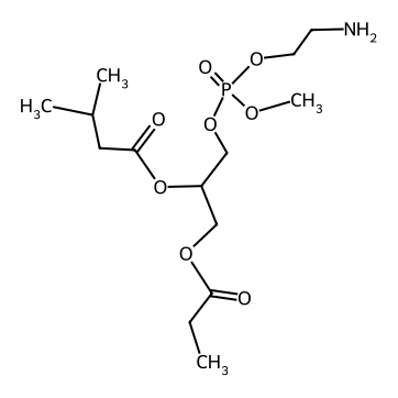 CCC(=O)OCC(COP(=O)(OC)OCCN)OC(=O)CC(C)C